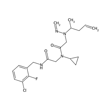 C=CCC(C)N(CC(=O)N(CC(=O)NCc1cccc(Cl)c1F)C1CC1)N=C